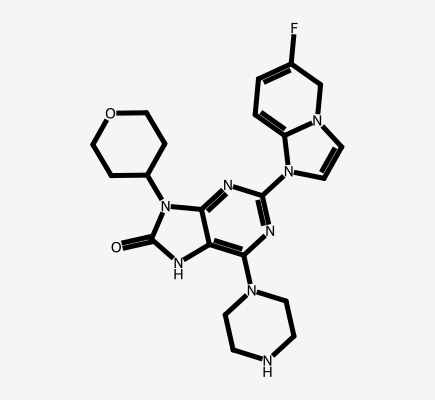 O=c1[nH]c2c(N3CCNCC3)nc(N3C=CN4CC(F)=CC=C43)nc2n1C1CCOCC1